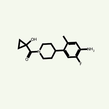 Cc1cc(N)c(F)cc1C1CCN(C(=O)C2(O)CC2)CC1